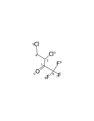 O=C(C(Cl)CCl)C(F)(F)F